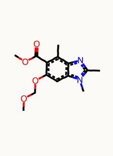 COCOc1cc2c(nc(C)n2C)c(C)c1C(=O)OC